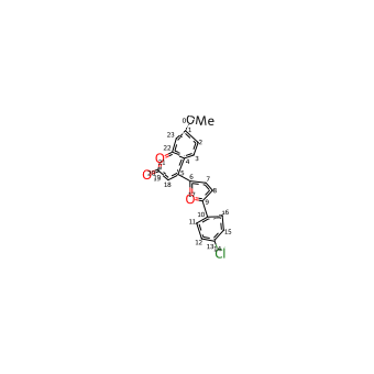 COc1ccc2c(-c3ccc(-c4ccc(Cl)cc4)o3)cc(=O)oc2c1